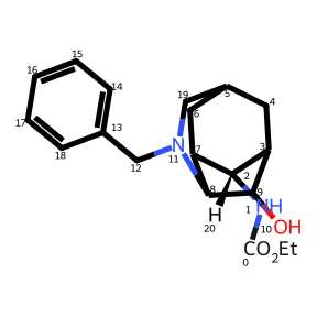 CCOC(=O)N[C@H]1C2CC3CC1C(C2O)N(Cc1ccccc1)C3